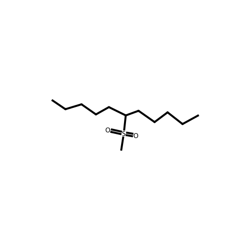 CCCCCC(CCCCC)S(C)(=O)=O